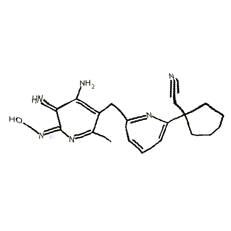 CC1=N/C(=N/O)C(=N)C(N)=C1Cc1cccc(C2(C#N)CCCC2)n1